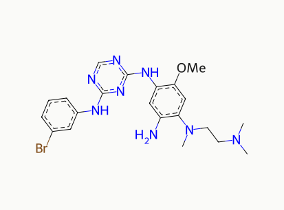 COc1cc(N(C)CCN(C)C)c(N)cc1Nc1ncnc(Nc2cccc(Br)c2)n1